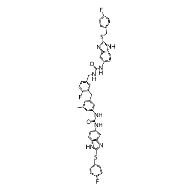 Cc1cc(Cc2cc(CNC(=O)Nc3ccc4[nH]c(SCc5ccc(F)cc5)nc4c3)ccc2F)cc(NC(=O)Nc2ccc3[nH]c(SCc4ccc(F)cc4)nc3c2)c1